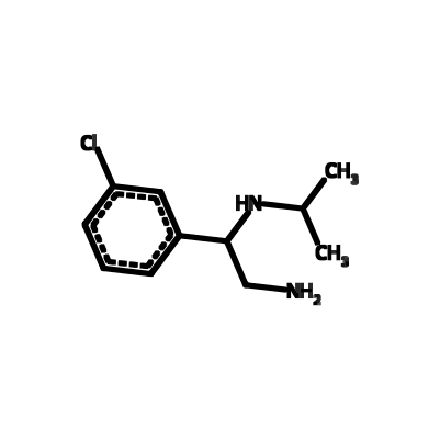 CC(C)NC(CN)c1cccc(Cl)c1